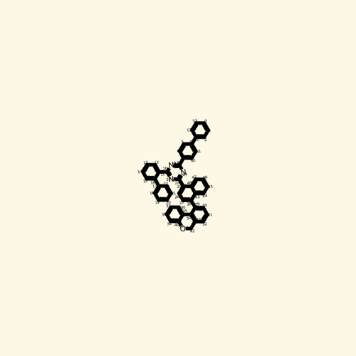 c1ccc(-c2ccc(-c3nc(-c4ccccc4-c4ccccc4)nc(-c4ccc(-c5cccc6c5-c5ccccc5OC6)c5ccccc45)n3)cc2)cc1